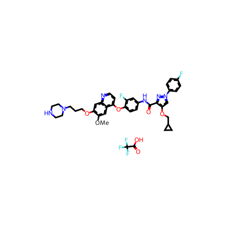 COc1cc2c(Oc3ccc(NC(=O)c4nn(-c5ccc(F)cc5)cc4OCC4CC4)cc3F)ccnc2cc1OCCCN1CCNCC1.O=C(O)C(F)(F)F